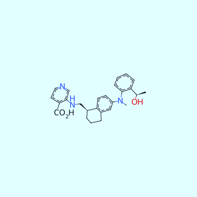 C[C@@H](O)c1ccccc1N(C)c1ccc2c(c1)CCC[C@H]2CNc1cnccc1C(=O)O